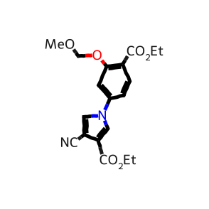 CCOC(=O)c1cn(-c2ccc(C(=O)OCC)c(OCOC)c2)cc1C#N